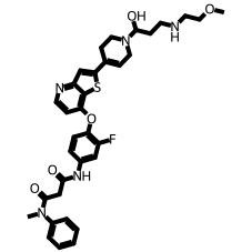 COCCNCCC(O)N1CC=C(c2cc3nccc(Oc4ccc(NC(=O)CC(=O)N(C)c5ccccc5)cc4F)c3s2)CC1